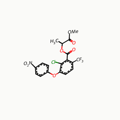 COC(=O)C(C)OC(=O)c1c(C(F)(F)F)ccc(Oc2ccc([N+](=O)[O-])cc2)c1Cl